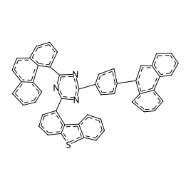 c1ccc2c(c1)cc(-c1ccc(-c3nc(-c4cccc5ccc6ccccc6c45)nc(-c4cccc5sc6ccccc6c45)n3)cc1)c1ccccc12